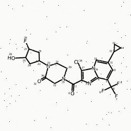 O=C(c1nc2c(C(F)(F)F)cc(C3CC3)cn2c1Cl)N1CCN(C2CC(O)C(F)C2)C(=O)C1